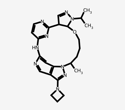 CC(C)N1N=CC2c3nccc(n3)Nc3cc4c(cn3)c(N3CCC3)nn4C(C)CCCOC21